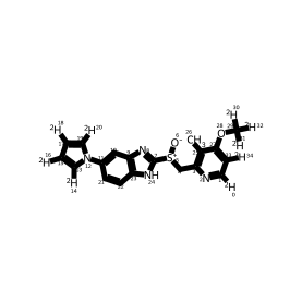 [2H]c1nc(C[S+]([O-])c2nc3cc(-n4c([2H])c([2H])c([2H])c4[2H])ccc3[nH]2)c(C)c(OC([2H])([2H])[2H])c1[2H]